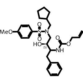 C=CCOC(=O)NC(Cc1ccccc1)[C@@H](O)CN(CC1CCCC1)S(=O)(=O)c1ccc(OC)cc1